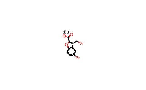 CC(C)(C)OC(=O)c1oc2ccc(Br)cc2c1CBr